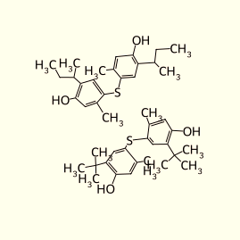 CCC(C)c1cc(Sc2cc(C(C)CC)c(O)cc2C)c(C)cc1O.Cc1cc(O)c(C(C)(C)C)cc1Sc1cc(C(C)(C)C)c(O)cc1C